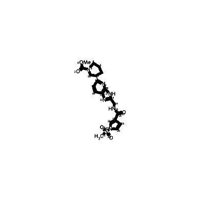 COC(=O)N1CCC[C@H](c2ccc3nc(CNC(=O)c4ccn(S(C)(=O)=O)c4)[nH]c3n2)C1